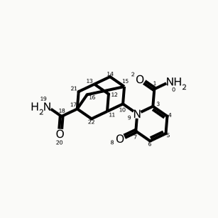 NC(=O)c1cccc(=O)n1C1C2CC3CC1CC(C(N)=O)(C3)C2